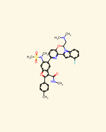 CNC(=O)c1c(-c2ccc(C)cc2)oc2cc(N(C)S(C)(=O)=O)c(-c3ccc4c(n3)-c3cc5c(F)cccc5n3C(CN(C)C)O4)cc12